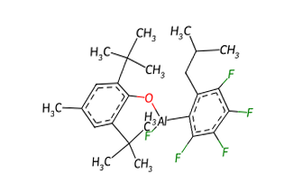 Cc1cc(C(C)(C)C)c([O][Al]([F])[c]2c(F)c(F)c(F)c(F)c2CC(C)C)c(C(C)(C)C)c1